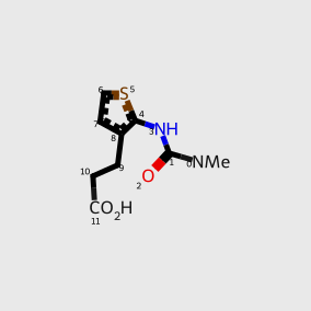 CNC(=O)Nc1sccc1CCC(=O)O